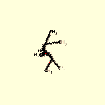 CCCCCCCCCCCCCCCCC(CCCCCCCCCCCCCC)COC(=O)COc1ccc(-c2nc(-c3ccc(OC)cc3)nc(-c3ccc(OCC(=O)OCC(CCCCCCCCCCCCCC)CCCCCCCCCCCCCCCC)cc3O)n2)c(O)c1